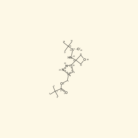 CC(C)(C)C(=O)OCn1cc(C2(N[S@@+]([O-])C(C)(C)C)COC2)nn1